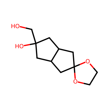 OCC1(O)CC2CC3(CC2C1)OCCO3